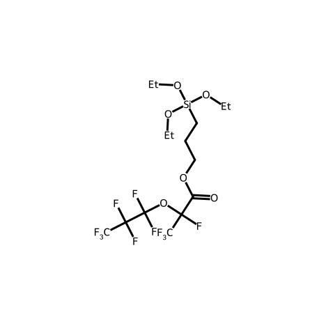 CCO[Si](CCCOC(=O)C(F)(OC(F)(F)C(F)(F)C(F)(F)F)C(F)(F)F)(OCC)OCC